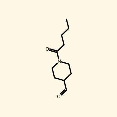 CCCCC(=O)N1CCC(C=O)CC1